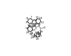 CCCC[B-](c1ccccc1)(c1ccccc1)c1ccccc1.CC[n+]1ccn(C)c1